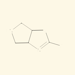 CC1=NC2CNCC2S1